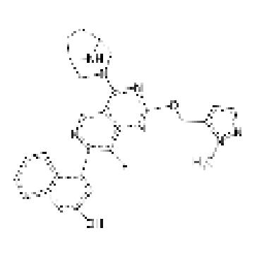 Cn1nccc1COc1nc(N2CC3CCC(C2)N3)c2cnc(-c3cc(O)cc4ccccc34)c(F)c2n1